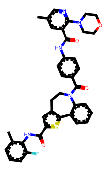 Cc1cnc(N2CCOCC2)c(C(=O)Nc2ccc(C(=O)N3CCc4cc(C(=O)Nc5c(C)cccc5F)sc4-c4ccccc43)cc2)c1